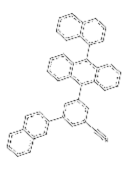 N#Cc1cc(-c2ccc3ccccc3c2)cc(-c2c3ccccc3c(-c3cccc4ccccc34)c3ccccc23)c1